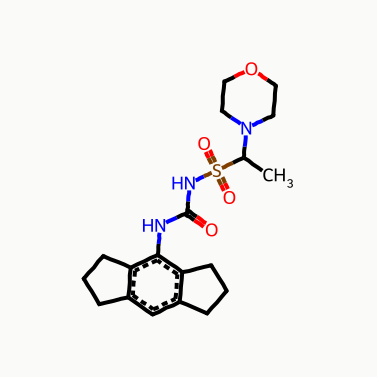 CC(N1CCOCC1)S(=O)(=O)NC(=O)Nc1c2c(cc3c1CCC3)CCC2